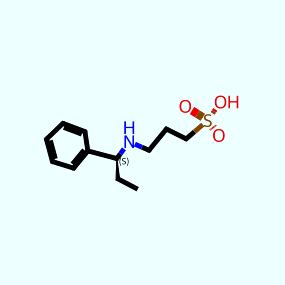 CC[C@H](NCCCS(=O)(=O)O)c1ccccc1